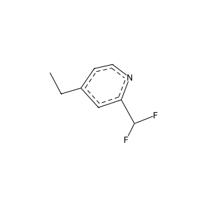 CCc1ccnc(C(F)F)c1